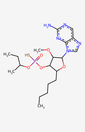 CCCCCC1OC(n2cnc3cnc(N)nc32)C(OC)C1OP(=O)(S)OC(C)CC